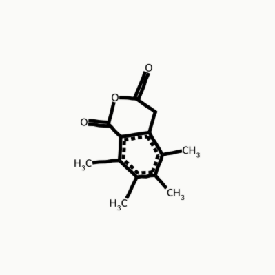 Cc1c(C)c(C)c2c(c1C)CC(=O)OC2=O